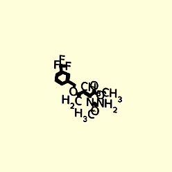 C=C(OCc1cccc(C(F)(F)F)c1)/C(C)=C(\N=C(/N)OC)C(=O)OC